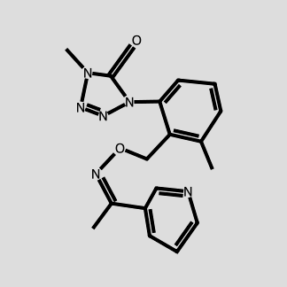 C/C(=N/OCc1c(C)cccc1-n1nnn(C)c1=O)c1cccnc1